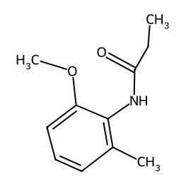 CCC(=O)Nc1c(C)cccc1OC